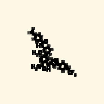 C[C@@H]1[C@H](NC(=O)c2ccc(C3CC3)cc2)CCCN1c1cnc(C(N)=O)c(Nc2cnn(C3CCN(CC(F)(F)F)CC3)c2)n1